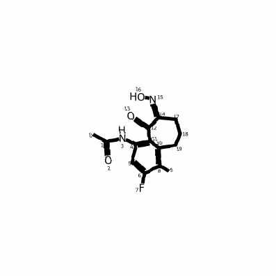 CC(=O)Nc1cc(F)c(C)c2c1C(=O)/C(=N\O)CCC2